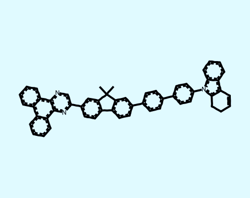 CC1(C)c2cc(-c3ccc(-c4ccc(-n5c6c(c7ccccc75)C=CCC6)cc4)cc3)ccc2-c2ccc(-c3cnc4c5ccccc5c5ccccc5c4n3)cc21